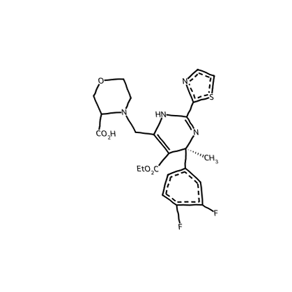 CCOC(=O)C1=C(CN2CCOCC2C(=O)O)NC(c2nccs2)=N[C@@]1(C)c1ccc(F)c(F)c1